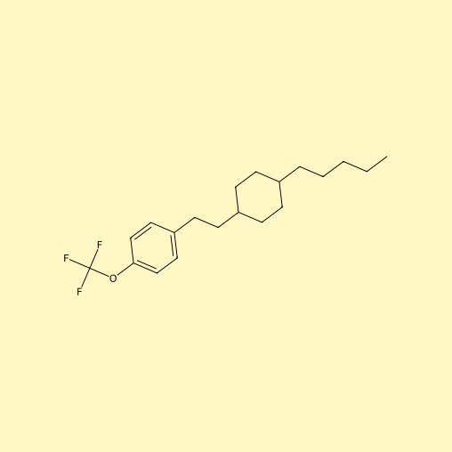 CCCCCC1CCC(CCc2ccc(OC(F)(F)F)cc2)CC1